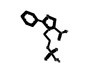 CS(=O)(=O)OCCn1c([N+](=O)[O-])cnc1-c1ccccc1